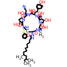 CCC(C)CC(C)CCCCCCCCC(=O)N[C@H]1CC[C@@H](Sc2ccccc2)NC(=O)[C@@H]2[C@@H](O)CCN2C(=O)[C@H]([C@H](O)CC#N)NC(=O)[C@H]([C@H](O)[C@@H](O)c2ccc(O)cc2)NC(=O)[C@@H]2C[C@@H](O)CN2C(=O)[C@H]([C@@H](C)O)NC1=O